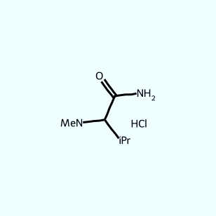 CNC(C(N)=O)C(C)C.Cl